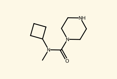 CN(C(=O)N1CCNCC1)C1CCC1